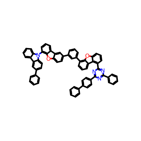 c1ccc(-c2ccc(-c3nc(-c4ccccc4)nc(-c4cccc5oc6c(-c7cccc(-c8ccc9oc%10c(-n%11c%12ccccc%12c%12cc(-c%13ccccc%13)ccc%12%11)cccc%10c9c8)c7)cccc6c45)n3)cc2)cc1